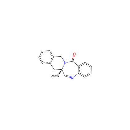 CN[C@]12C=Nc3ccccc3C(=O)N1Cc1ccccc1C2